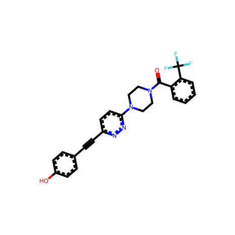 O=C(c1ccccc1C(F)(F)F)N1CCN(c2ccc(C#Cc3ccc(O)cc3)nn2)CC1